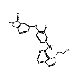 O=C1NCc2ccc(Oc3ccc(Nc4ncnc5ccn(CCO)c45)cc3Cl)cc21